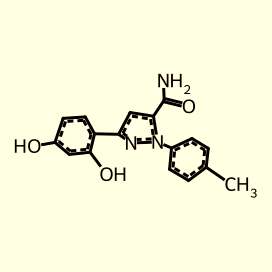 Cc1ccc(-n2nc(-c3ccc(O)cc3O)cc2C(N)=O)cc1